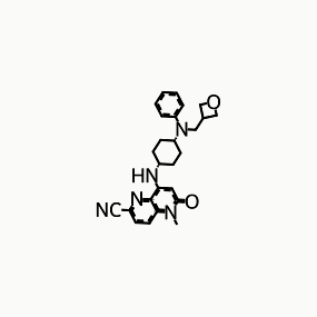 Cn1c(=O)cc(N[C@H]2CC[C@@H](N(CC3COC3)c3ccccc3)CC2)c2nc(C#N)ccc21